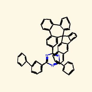 c1ccc(-c2cccc(-c3nc(-c4ccccc4)nc(-c4ccc5c(c4)C4(c6ccccc6-c6ccccc6-5)c5ccccc5-c5cc6ccccc6cc54)n3)c2)cc1